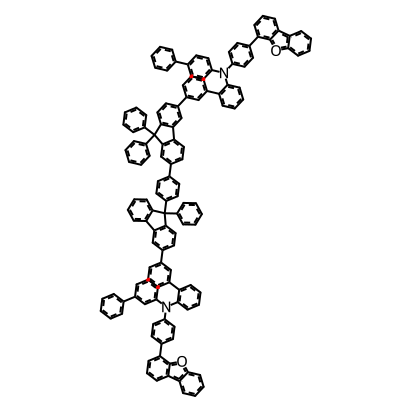 c1ccc(-c2ccc(N(c3ccc(-c4cccc5c4oc4ccccc45)cc3)c3ccccc3-c3cccc(-c4ccc5c(c4)-c4ccc(-c6ccc(C7(c8ccccc8)c8ccccc8-c8cc(-c9cccc(-c%10ccccc%10N(c%10ccc(-c%11cccc%12c%11oc%11ccccc%11%12)cc%10)c%10cccc(-c%11ccccc%11)c%10)c9)ccc87)cc6)cc4C5(c4ccccc4)c4ccccc4)c3)cc2)cc1